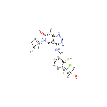 Cc1c(=O)n(C2CC3(F)CC2C3)cc2c(NCc3cccc(C(F)(F)C(C)(C)O)c3F)ncnc12